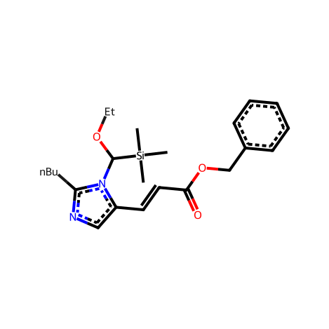 CCCCc1ncc(/C=C/C(=O)OCc2ccccc2)n1C(OCC)[Si](C)(C)C